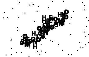 CC(Sc1nnc(-c2ccc(-c3ccc(NC(=O)CSc4nnc(C5CC=CS5)n4C(F)(F)c4ccccc4)cc3)s2)n1C(C)c1ccccc1)C(=O)Nc1cccc(-c2ccc(-c3nnc(SCC(=O)Nc4ccccc4)n3Cc3ccc(N(C)C)cc3)s2)c1